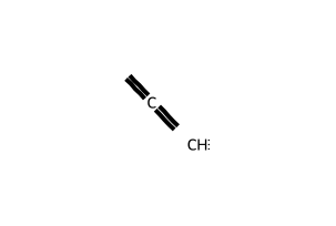 C=C=C.[CH]